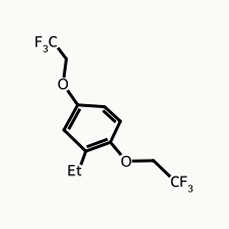 CCc1cc(OCC(F)(F)F)ccc1OCC(F)(F)F